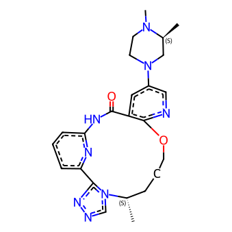 C[C@H]1CN(c2cnc3c(c2)C(=O)Nc2cccc(n2)-c2nncn2[C@@H](C)CCCO3)CCN1C